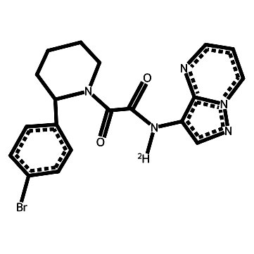 [2H]N(C(=O)C(=O)N1CCCCC1c1ccc(Br)cc1)c1cnn2cccnc12